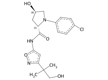 CC(C)(CO)c1cc(NC(=O)[C@@H]2C[C@@H](O)CN2c2ccc(Cl)cc2)on1